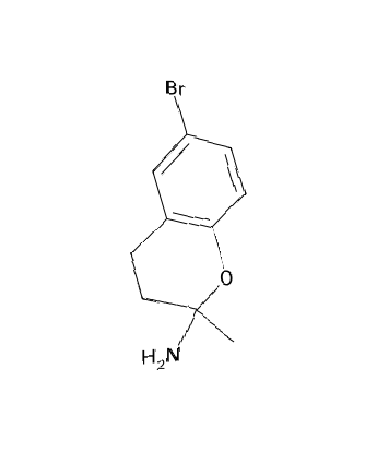 CC1(N)CCc2cc(Br)ccc2O1